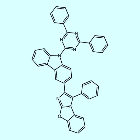 c1ccc(-c2nc(-c3ccccc3)nc(-n3c4ccccc4c4cc(-c5nc6oc7ccccc7n6c5-c5ccccc5)ccc43)n2)cc1